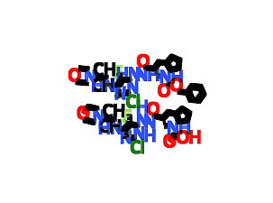 CC(C)(CNc1nc(Cl)nc(NNC(=O)[C@@H](CNC(=O)O)CC2CCCC2)c1F)N1CCOCC1.CC(C)(CNc1nc(Cl)nc(NNC(=O)[C@@H](CNC(=O)OCc2ccccc2)CC2CCCC2)c1F)N1CCOCC1